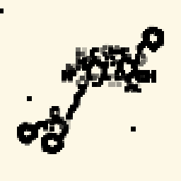 CCC1O[C@H](OCCCCCN(Cc2ccccc2)C(=O)OCc2ccccc2)C(N=[N+]=[N-])[C@@H](C)[C@@H]1O[C@@H]1OC(C(C)=O)[C@@H](O)C(OCc2ccccc2)[C@@H]1OC(C)=O